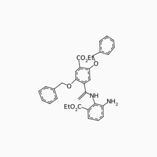 C=C(Nc1c(N)cccc1C(=O)OCC)c1cc(OCc2ccccc2)c(C(=O)OCC)cc1OCc1ccccc1